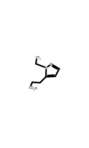 O=C(O)CCc1ccnn1CC(F)(F)F